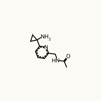 CC(=O)NCc1cccc(C2(N)[CH]C2)n1